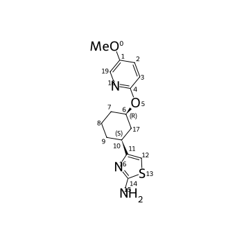 COc1ccc(O[C@@H]2CCC[C@H](c3csc(N)n3)C2)nc1